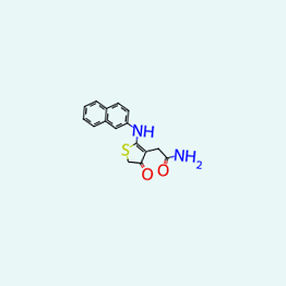 NC(=O)CC1=C(Nc2ccc3ccccc3c2)SCC1=O